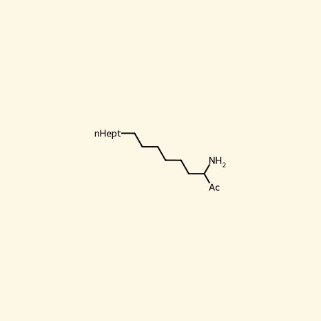 CCCCCCCCCCCCCC(N)C(C)=O